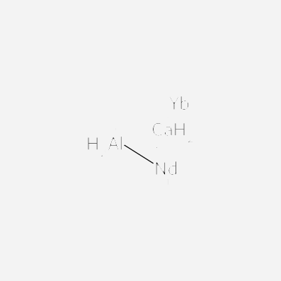 [AlH2][Nd].[CaH2].[Yb]